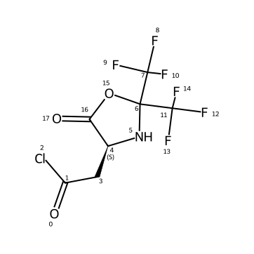 O=C(Cl)C[C@@H]1NC(C(F)(F)F)(C(F)(F)F)OC1=O